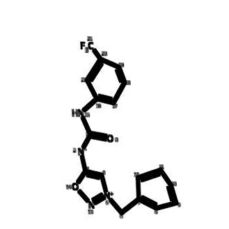 O=C([N-]c1c[n+](Cc2ccccc2)no1)Nc1cccc(C(F)(F)F)c1